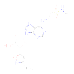 CCNS(=O)(=O)CCNc1ncnc2c1ncn2[C@@H]1O[C@H](c2cc(C(C)(C)C)no2)[C@@H](O)[C@H]1O